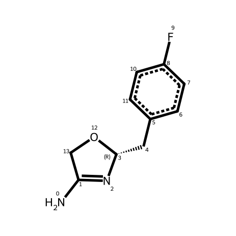 NC1=N[C@@H](Cc2ccc(F)cc2)OC1